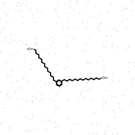 CCCCCCCCCCCCCCCCCCCCCCCCc1c[c]cc(CCCCCCCCCCCCCCCCCCCCCCCC)c1